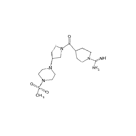 CS(=O)(=O)N1CCN(C2C[CH]N(C(=O)C3CCN(C(=N)N)CC3)C2)CC1